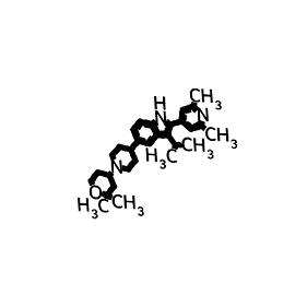 Cc1cc(-c2[nH]c3ccc(C4CCN(C5CCOC(C)(C)C5)CC4)cc3c2C(C)C)cc(C)n1